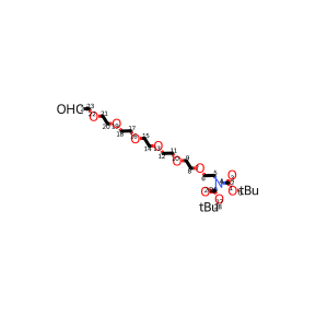 CC(C)(C)OC(=O)N(CCOCCOCCOCCOCCOCCOCC=O)C(=O)OC(C)(C)C